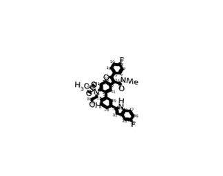 CNC(=O)c1c(-c2ccc(F)cc2)oc2cc(N(CCO)S(C)(=O)=O)c(-c3cccc(-c4cc5cc(F)ccc5[nH]4)c3)cc12